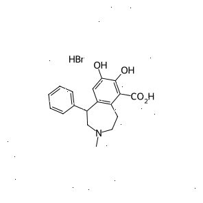 Br.CN1CCc2c(cc(O)c(O)c2C(=O)O)C(c2ccccc2)C1